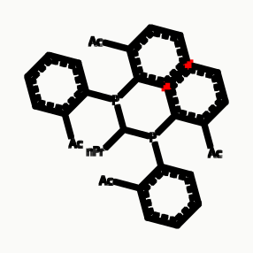 CCCC(P(c1ccccc1C(C)=O)c1ccccc1C(C)=O)P(c1ccccc1C(C)=O)c1ccccc1C(C)=O